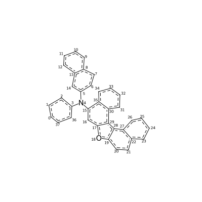 c1ccc(N(c2ccc3ccccc3c2)c2cc3oc4ccc5ccccc5c4c3c3ccccc23)cc1